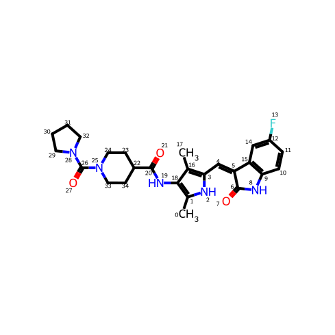 Cc1[nH]c(/C=C2\C(=O)Nc3ccc(F)cc32)c(C)c1NC(=O)C1CCN(C(=O)N2CCCC2)CC1